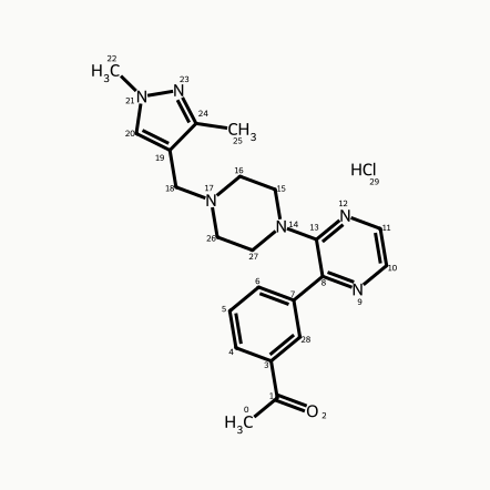 CC(=O)c1cccc(-c2nccnc2N2CCN(Cc3cn(C)nc3C)CC2)c1.Cl